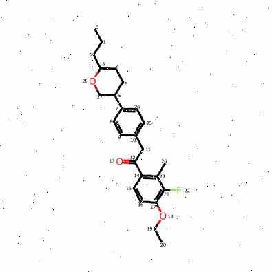 CCCC1CCC(c2ccc(CC(=O)c3ccc(OCC)c(F)c3C)cc2)CO1